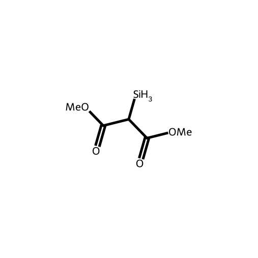 COC(=O)C([SiH3])C(=O)OC